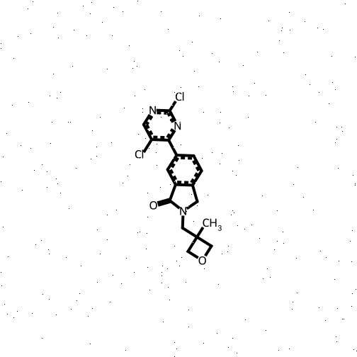 CC1(CN2Cc3ccc(-c4nc(Cl)ncc4Cl)cc3C2=O)COC1